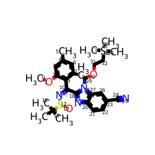 COc1cc(C)cc(C)c1/C(=N/[S+]([O-])C(C)(C)C)c1nc2ccc(C#N)cc2n1COCC[Si](C)(C)C